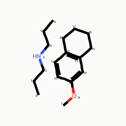 CCCNCCC.COc1ccc2c(c1)CCCC2